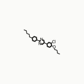 CCCCCc1ccc(-c2ncc(-c3ccc(OCCCC)c(Cl)c3)cn2)cc1